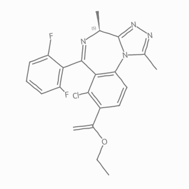 C=C(OCC)c1ccc2c(c1Cl)C(c1c(F)cccc1F)=N[C@@H](C)c1nnc(C)n1-2